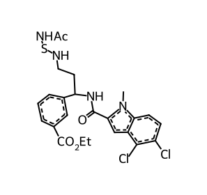 CCOC(=O)c1cccc(C(CCNSNC(C)=O)NC(=O)c2cc3c(Cl)c(Cl)ccc3n2C)c1